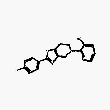 N#Cc1cccnc1N1CCc2oc(-c3ccc(F)cc3)nc2C1